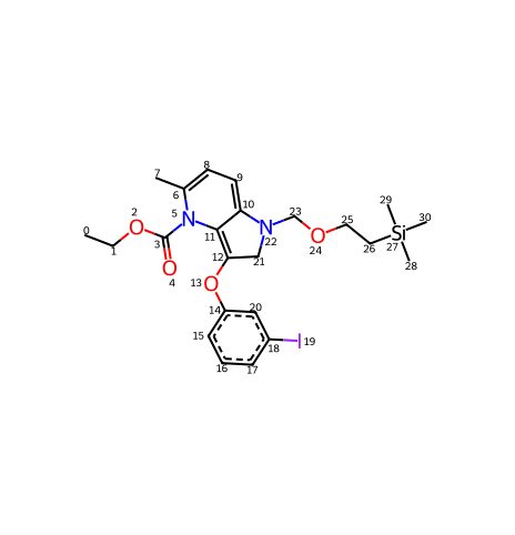 CCOC(=O)N1C(C)=CC=C2C1=C(Oc1cccc(I)c1)CN2COCC[Si](C)(C)C